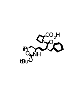 CC(C)C[C@@H](/C=C/[C@H](Cc1ccccc1)C(=O)N1CCCC1C(=O)O)NC(=O)OC(C)(C)C